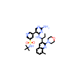 CCC(Nc1nc(N)ncc1-c1cncc(S(=O)(=O)NC(C)(C)C)c1)c1cc2cccc(C)c2nc1N1CCOCC1